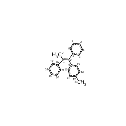 C/C(=C(\c1ccccc1)c1ccc(C)cc1)c1ccccc1